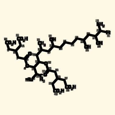 CCCCC(C)C(OC(=O)CC(CC(=O)O)CC(=O)O)C(CC(C)CC(O)CCCCC(O)CC(O)C(N)CC)OC(=O)CC(CC(=O)O)CC(=O)O